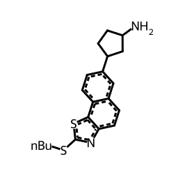 CCCCSc1nc2ccc3cc(C4CCC(N)C4)ccc3c2s1